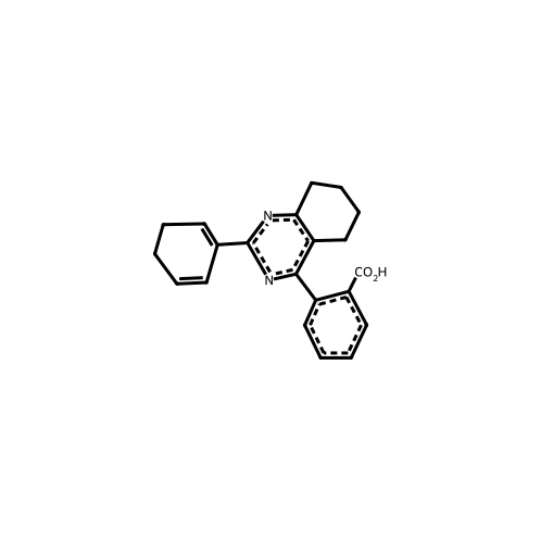 O=C(O)c1ccccc1-c1nc(C2=CCCC=C2)nc2c1CCCC2